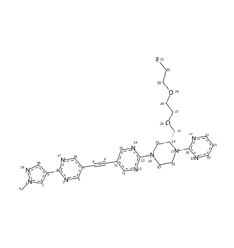 Cn1cc(-c2ncc(C#Cc3cnc(N4CCN(c5ncccn5)[C@@H](COCCOCCF)C4)nc3)cn2)cn1